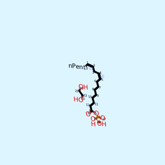 CCCCC/C=C\C/C=C\CCCCCCCC(=O)OP(=O)(O)O.OCCO